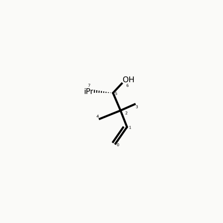 C=CC(C)(C)[C@@H](O)C(C)C